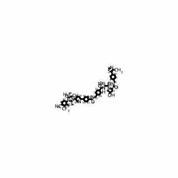 Cc1ncsc1-c1ccc(CNC(=O)[C@@H]2C[C@@H](O)CN2C(=O)[C@@H](NC(=O)c2ccc(CNC(=O)c3ccc(-c4ccc(N5C(=S)N(c6ccc(C#N)c(C(F)(F)F)c6F)C(=O)C5(C)C)cn4)cc3)cc2)C(C)(C)C)cc1